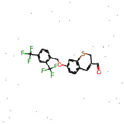 O=CC1=Cc2ccc(OCc3ccc(C(F)(F)F)cc3C(F)(F)F)cc2SC1